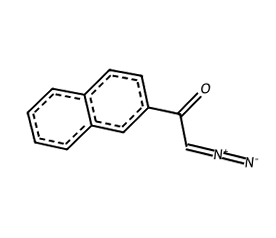 [N-]=[N+]=CC(=O)c1ccc2ccccc2c1